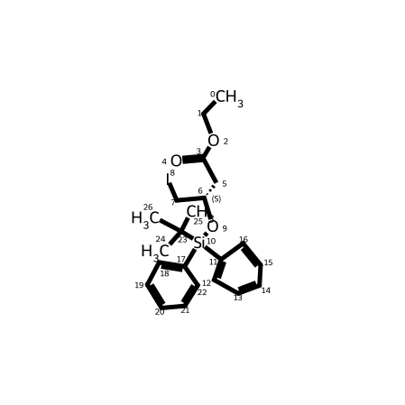 CCOC(=O)C[C@@H](CI)O[Si](c1ccccc1)(c1ccccc1)C(C)(C)C